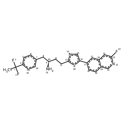 CC(F)(F)c1ccc(C[C@H](N)CCc2ncc(-c3ccc4cnc(F)cc4c3)s2)cn1